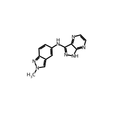 Cn1cc2cc(Nc3n[nH]c4nccnc34)ccc2n1